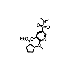 CCOC(=O)c1cc(S(=O)(=O)N(C)C)cnc1N(C)C1CCCC1